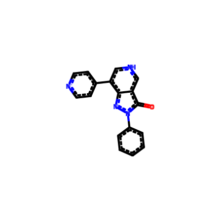 O=c1c2c[nH]cc(-c3ccncc3)c-2nn1-c1ccccc1